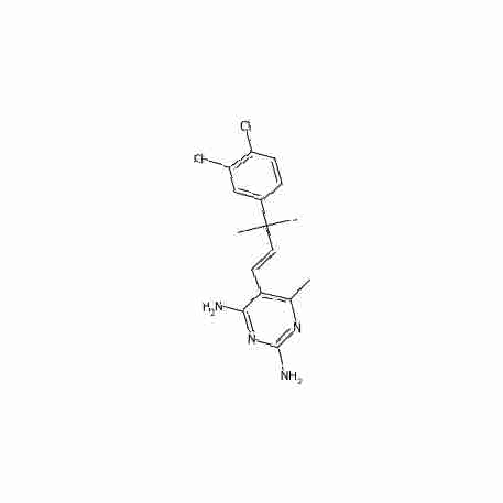 Cc1nc(N)nc(N)c1/C=C/C(C)(C)c1ccc(Cl)c(Cl)c1